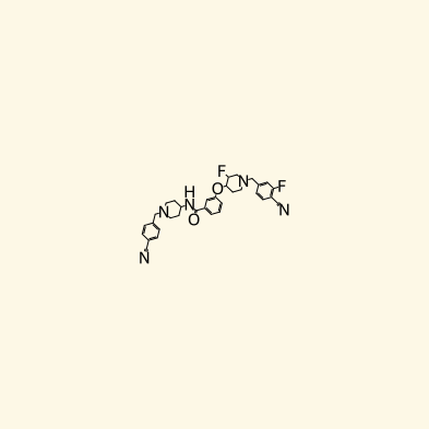 N#Cc1ccc(CN2CCC(NC(=O)c3cccc(OC4CCN(Cc5ccc(C#N)c(F)c5)CC4F)c3)CC2)cc1